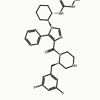 CC(C)(C)NC(=O)N[C@H]1CCCC[C@@H]1n1cnc(C(=O)N2CCNC[C@H]2Cc2cc(F)cc(F)c2)c1-c1ccccc1